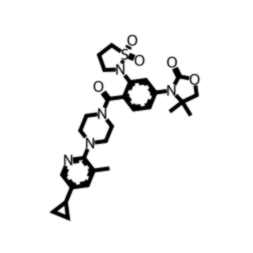 Cc1cc(C2CC2)cnc1N1CCN(C(=O)c2ccc(N3C(=O)OCC3(C)C)cc2N2CCCS2(=O)=O)CC1